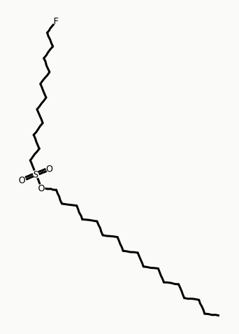 CCCCCCCCCCCCCCCCCOS(=O)(=O)CCCCCCCCCCCF